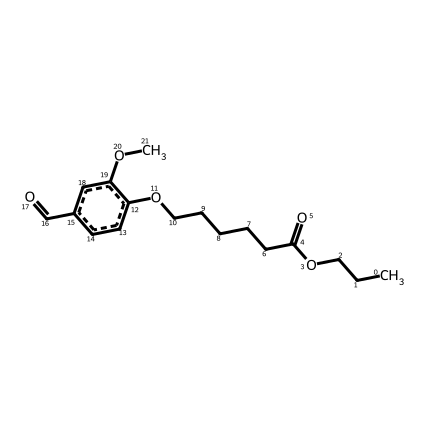 CCCOC(=O)CCCCCOc1ccc(C=O)cc1OC